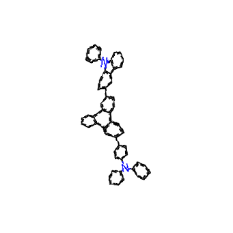 c1ccc(N(c2ccccc2)c2ccc(-c3ccc4c5ccc(-c6ccc7c(c6)c6ccccc6n7-c6ccccc6)cc5c5ccccc5c4c3)cc2)cc1